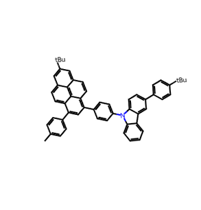 Cc1ccc(-c2cc(-c3ccc(-n4c5ccccc5c5cc(-c6ccc(C(C)(C)C)cc6)ccc54)cc3)c3ccc4cc(C(C)(C)C)cc5ccc2c3c54)cc1